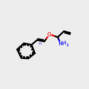 C=CC(N)O/C=C/c1ccccc1